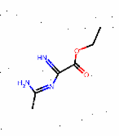 CCOC(=O)C(=N)/N=C(/C)N